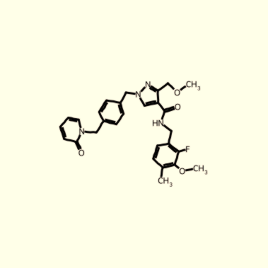 COCc1nn(Cc2ccc(Cn3ccccc3=O)cc2)cc1C(=O)NCc1ccc(C)c(OC)c1F